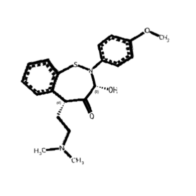 COc1ccc(N2Sc3ccccc3[C@@H](CCN(C)C)C(=O)[C@H]2O)cc1